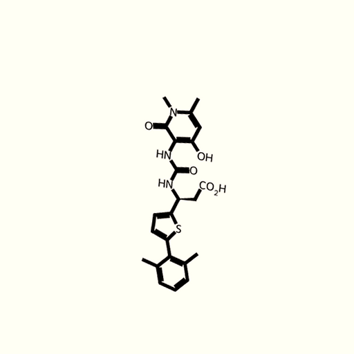 Cc1cccc(C)c1-c1ccc([C@H](CC(=O)O)NC(=O)Nc2c(O)cc(C)n(C)c2=O)s1